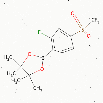 CC1(C)OB(c2ccc(S(=O)(=O)C(F)(F)F)cc2F)OC1(C)C